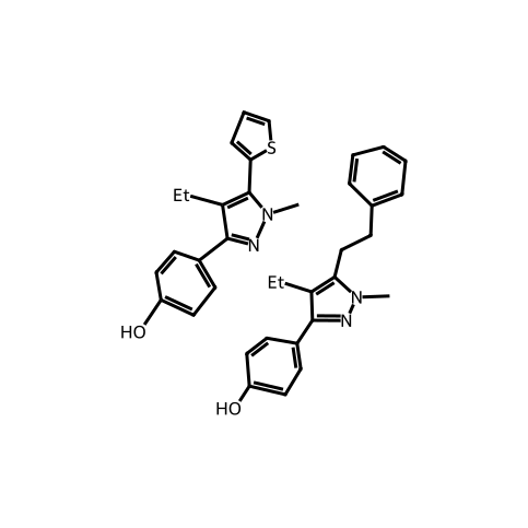 CCc1c(-c2ccc(O)cc2)nn(C)c1-c1cccs1.CCc1c(-c2ccc(O)cc2)nn(C)c1CCc1ccccc1